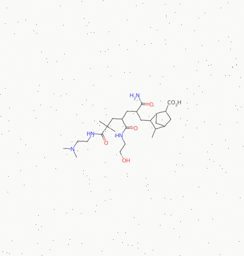 CC1C2CC(C(=O)O)C(C2)C1CC(CC(CC(C)(C)C(=O)NCCN(C)C)C(=O)NCCO)C(N)=O